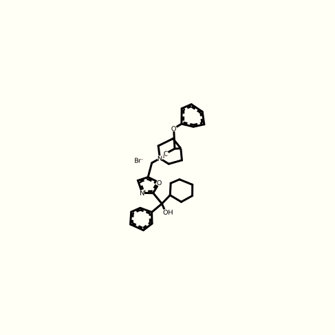 OC(c1ccccc1)(c1ncc(C[N+]23CCC(CC2)C(Oc2ccccc2)C3)o1)C1CCCCC1.[Br-]